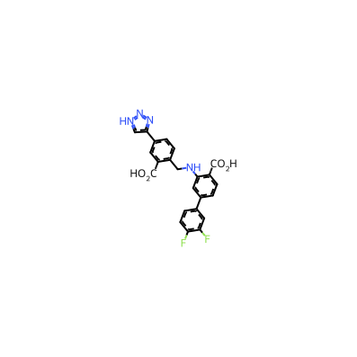 O=C(O)c1cc(-c2c[nH]nn2)ccc1CNc1cc(-c2ccc(F)c(F)c2)ccc1C(=O)O